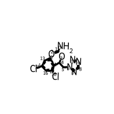 NC(=O)OC(Cn1ncnn1)c1ccc(Cl)cc1Cl